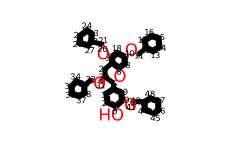 Oc1ccc(C2Oc3cc(OCc4ccccc4)cc(OCc4ccccc4)c3CC2OCc2ccccc2)cc1OCc1ccccc1